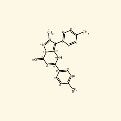 Cc1ccc(-c2c(C)nn3c(=O)cc(-c4ccc(C(F)(F)F)nc4)[nH]c23)cc1